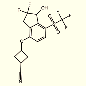 N#CC1CC(Oc2ccc(S(=O)(=O)C(F)(F)F)c3c2CC(F)(F)C3O)C1